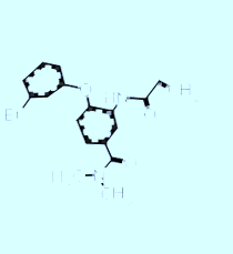 C=CC(=O)Nc1cc(C(=O)N(C)C)ccc1Oc1cccc(CC)c1